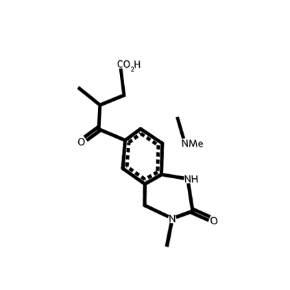 CC(CC(=O)O)C(=O)c1ccc2c(c1)CN(C)C(=O)N2.CNC